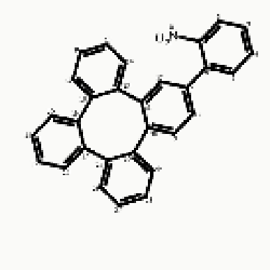 O=[N+]([O-])c1ccccc1-c1ccc2c(c1)-c1ccccc1-c1ccccc1-c1ccccc1-2